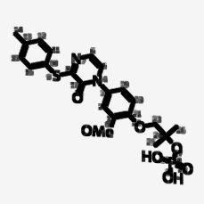 COc1cc(-n2ccnc(Sc3ccc(C)cc3)c2=O)ccc1OCC(C)(C)OP(=O)(O)O